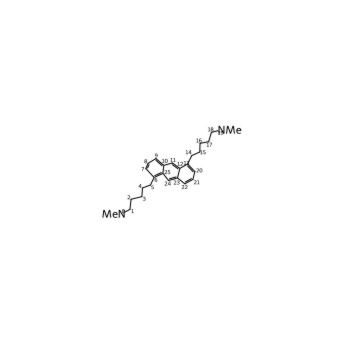 CNCCCCCc1cccc2cc3c(CCCCCNC)cccc3cc12